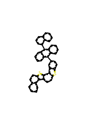 c1ccc2c(-c3c4ccccc4c(-c4ccc5sc6ccc7c(sc8ccc9ccccc9c87)c6c5c4)c4ccccc34)cccc2c1